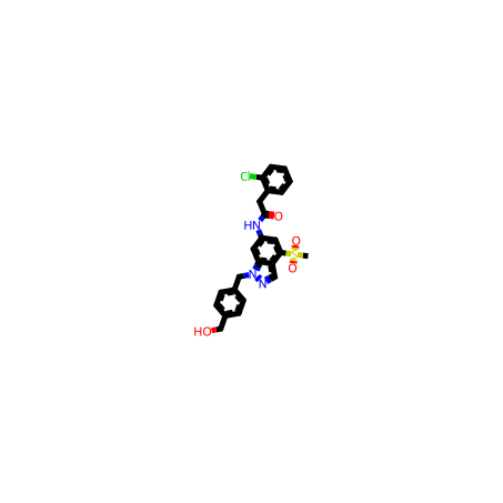 CS(=O)(=O)c1cc(NC(=O)Cc2ccccc2Cl)cc2c1cnn2Cc1ccc(CO)cc1